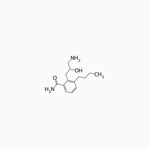 CCCCc1cccc(C(N)=O)c1CC(O)CN